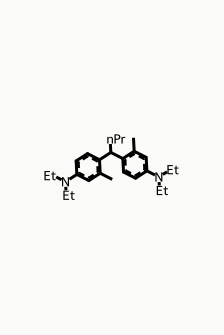 CCCC(c1ccc(N(CC)CC)cc1C)c1ccc(N(CC)CC)cc1C